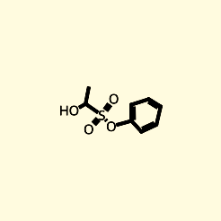 CC(O)S(=O)(=O)Oc1ccccc1